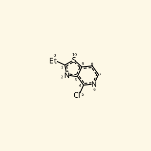 CCc1nc2c(Cl)nccc2s1